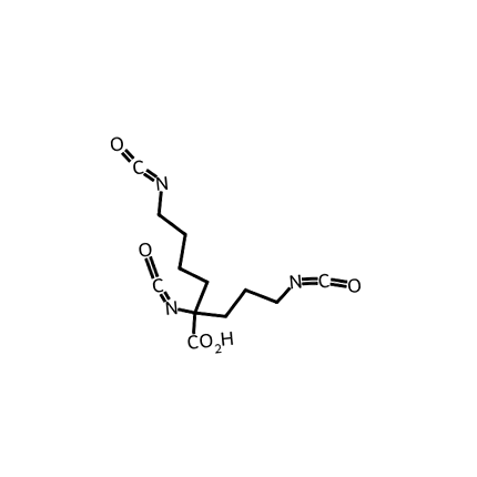 O=C=NCCCCC(CCCN=C=O)(N=C=O)C(=O)O